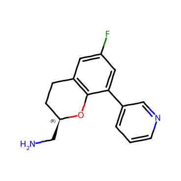 NC[C@H]1CCc2cc(F)cc(-c3cccnc3)c2O1